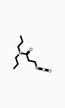 CCCN(CCC)C(=O)CCN=C=O